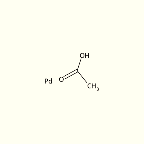 CC(=O)O.[Pd]